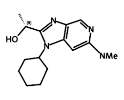 CNc1cc2c(cn1)nc([C@@H](C)O)n2C1CCCCC1